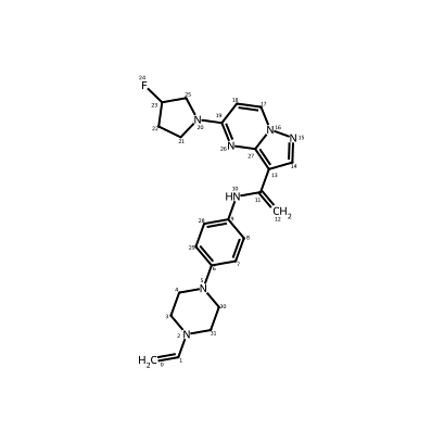 C=CN1CCN(c2ccc(NC(=C)c3cnn4ccc(N5CCC(F)C5)nc34)cc2)CC1